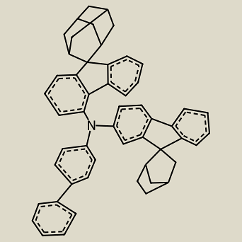 c1ccc(-c2ccc(N(c3ccc4c(c3)C3(CC5CCC3C5)c3ccccc3-4)c3cccc4c3-c3ccccc3C43C4CC5CC(C4)CC3C5)cc2)cc1